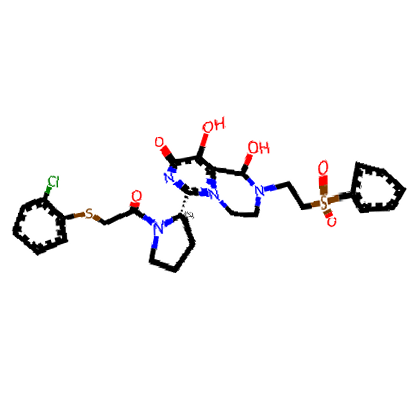 O=C(CSc1ccccc1Cl)N1CCC[C@H]1c1nc(=O)c(O)c2n1CCN(CCS(=O)(=O)c1ccccc1)C2O